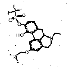 CCN1CCc2cc(OC[C@@H](C)F)cc3c2C1Cc1ccc(OS(=O)(=O)C(F)(F)F)c(O)c1-3